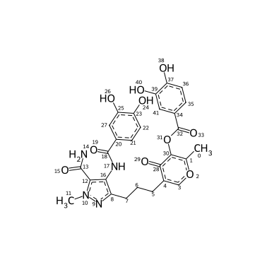 Cc1occ(CCCc2nn(C)c(C(N)=O)c2NC(=O)c2ccc(O)c(O)c2)c(=O)c1OC(=O)c1ccc(O)c(O)c1